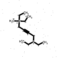 CCN(CC)CC#CC[N+](C)(CC)CC